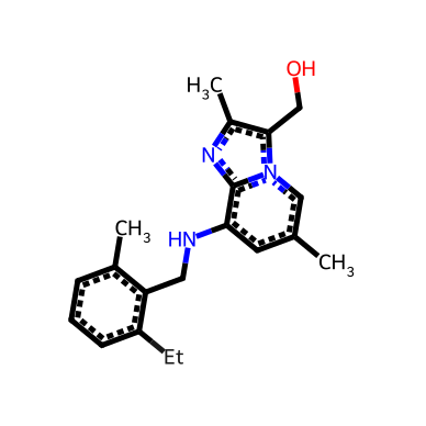 CCc1cccc(C)c1CNc1cc(C)cn2c(CO)c(C)nc12